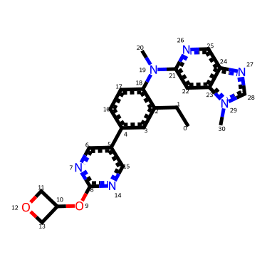 CCc1cc(-c2cnc(OC3COC3)nc2)ccc1N(C)c1cc2c(cn1)ncn2C